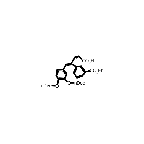 CCCCCCCCCCOc1ccc(/C=C(/C=C\C(=O)O)c2cccc(C(=O)OCC)c2)cc1OCCCCCCCCCC